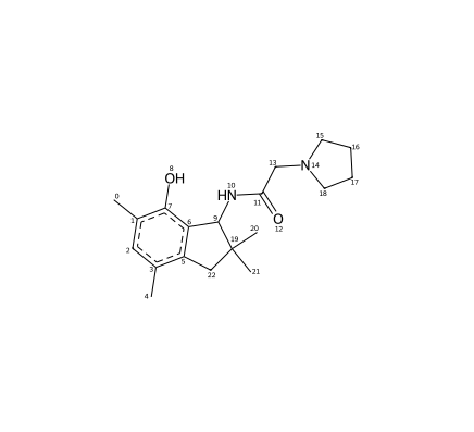 Cc1cc(C)c2c(c1O)C(NC(=O)CN1CCCC1)C(C)(C)C2